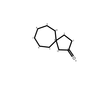 O=C1CCC2(CCCCCC2)C1